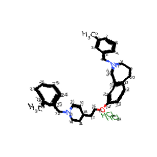 Cc1cccc(CN2CCCc3ccc(OCCC4CCN(Cc5ccccc5C)CC4)cc3C2)c1.Cl.Cl